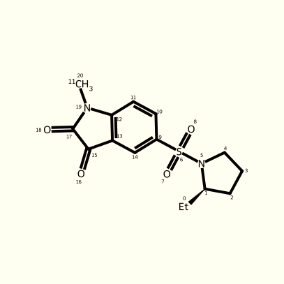 CC[C@@H]1CCCN1S(=O)(=O)c1ccc2c(c1)C(=O)C(=O)N2[11CH3]